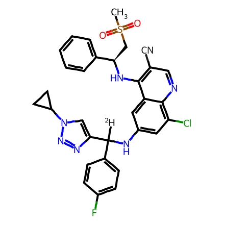 [2H]C(Nc1cc(Cl)c2ncc(C#N)c(N[C@H](CS(C)(=O)=O)c3ccccc3)c2c1)(c1ccc(F)cc1)c1cn(C2CC2)nn1